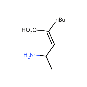 CCCCC(=CC(C)N)C(=O)O